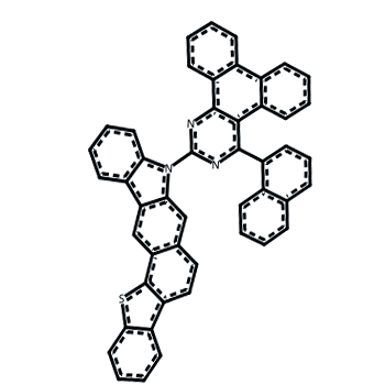 c1ccc2c(-c3nc(-n4c5ccccc5c5cc6c(ccc7c8ccccc8sc67)cc54)nc4c5ccccc5c5ccccc5c34)cccc2c1